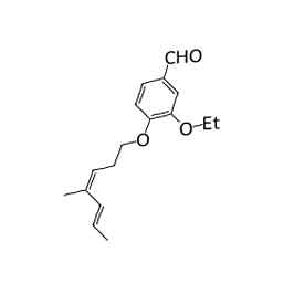 CC=CC(C)=CCCOc1ccc(C=O)cc1OCC